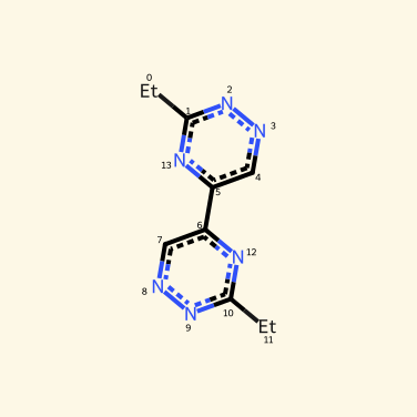 CCc1nncc(-c2cnnc(CC)n2)n1